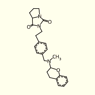 CN(Cc1ccc(CCN2C(=O)C3CCCN3C2=O)cc1)C1CCc2ccccc2O1